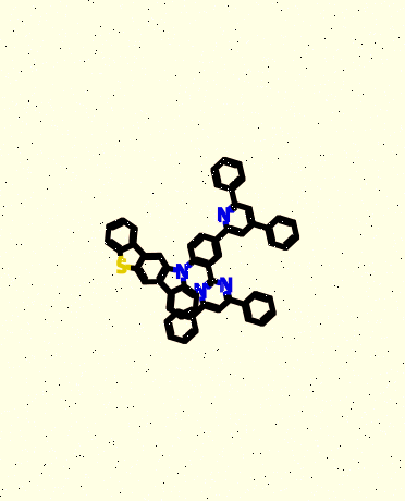 c1ccc(-c2cc(-c3ccccc3)nc(-c3ccc(-n4c5ccccc5c5cc6sc7ccccc7c6cc54)c(-c4nc(-c5ccccc5)cc(-c5ccccc5)n4)c3)c2)cc1